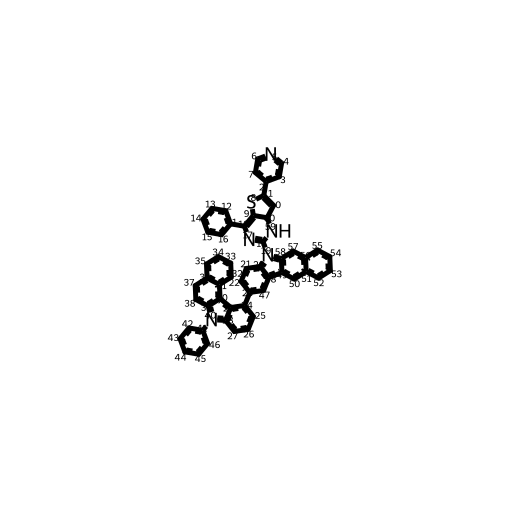 C1=C(c2ccncc2)SC2=C(c3ccccc3)N=C(n3c4ccc(-c5cccc6c5c5c7ccccc7ccc5n6-c5ccccc5)cc4c4cc5ccccc5cc43)NC12